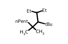 CCCCCC(C)(C)C([C](CC)CC)C(C)(C)C